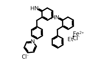 C[CH2][Fe+2].N=C1CC=CC=C1Cc1ccccc1.N=C1CC=CC=C1Cc1ccccc1.[Cl-].[Cl-].c1ccncc1